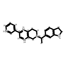 CC(c1ccc2c(c1)OCC2)N1CCc2nc(-c3cccnc3)cnc2C1